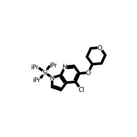 CC(C)[Si](C(C)C)(C(C)C)n1ccc2c(Cl)c(OC3CCOCC3)cnc21